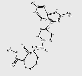 CC(C)NC(=O)N1CCCCC(NC(=O)N2CCN(c3cc(N)nc4cc(Cl)ccc34)CC2)C1=O